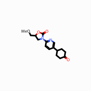 COCC1CN(c2ccc(C3CCC(=O)CC3)cn2)C(=O)O1